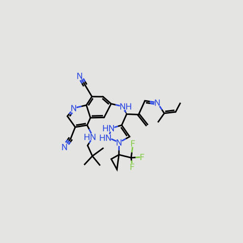 C=C(/C=N\C(C)=C/C)[C@H](Nc1cc(C#N)c2ncc(C#N)c(NCC(C)(C)C)c2c1)C1=CN(C2(C(F)(F)F)CC2)NN1